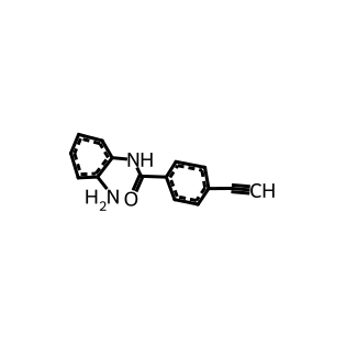 C#Cc1ccc(C(=O)Nc2ccccc2N)cc1